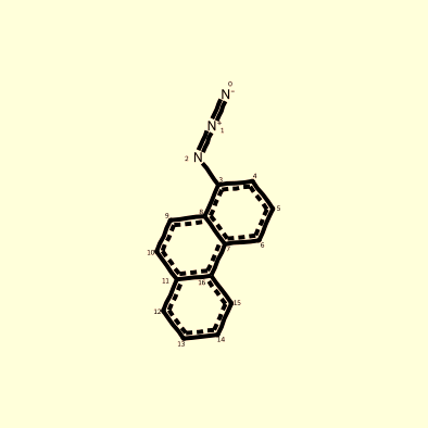 [N-]=[N+]=Nc1cccc2c1ccc1ccccc12